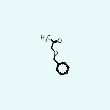 CC(=O)COCc1ccccc1